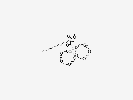 C1COCCOCCOCCOCCO1.C1COCCOCCOCCOCCO1.CCCCCCCCCCCCC(C)(C(=O)O)C(=O)OC